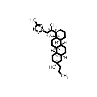 CCC[C@@]1(O)CC[C@H]2[C@@H](CC[C@@H]3[C@@H]2CC[C@]2(C)[C@@H]([C@H](C)Cn4nnc(C)n4)CCC[C@@H]32)C1